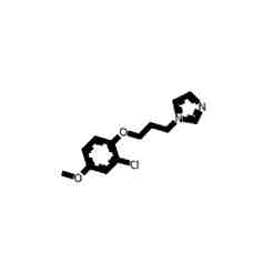 COc1ccc(OCCCn2ccnc2)c(Cl)c1